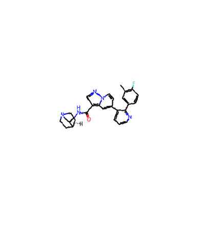 Cc1cc(-c2ncccc2-c2ccn3ncc(C(=O)N[C@@H]4CN5CCC4CC5)c3c2)ccc1F